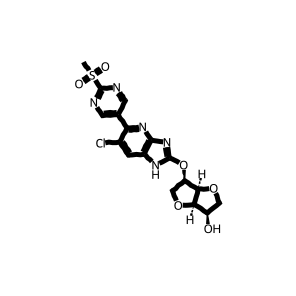 CS(=O)(=O)c1ncc(-c2nc3nc(O[C@@H]4CO[C@H]5[C@@H]4OC[C@H]5O)[nH]c3cc2Cl)cn1